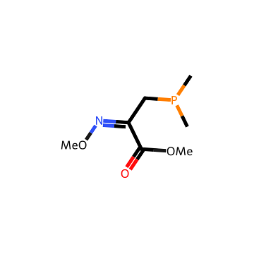 CON=C(CP(C)C)C(=O)OC